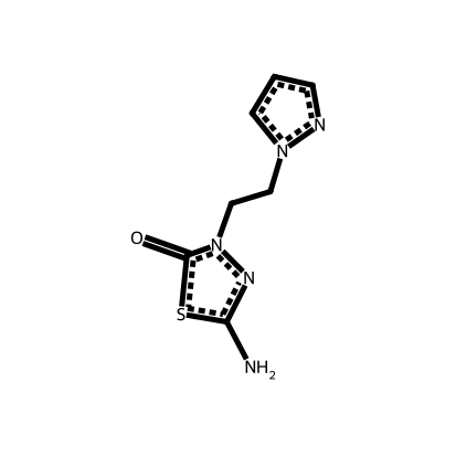 Nc1nn(CCn2cccn2)c(=O)s1